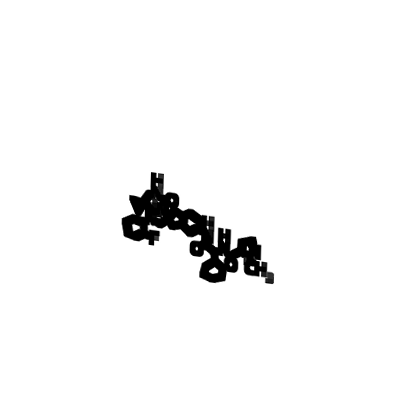 Cn1nccc1C(=O)N[C@H](C(=O)Nc1ccc2c(c1)CC(CNc1ccccc1F)(N1CC3(CC3)CNC1=O)C2)C1CCCCC1